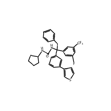 O=C(NC1CCCC1)NC(Cc1ccccc1)(c1cccc(-c2ccsc2)c1)c1cc(F)cc(C(F)(F)F)c1